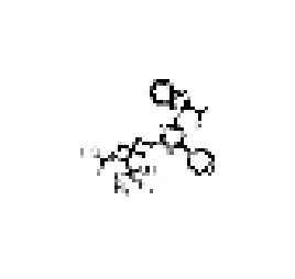 CC(C)(C)C1N(C(=O)O)CC12CN(c1nc(N3CCOCC3)nc(-n3c(C(F)F)nc4ccccc43)n1)C2